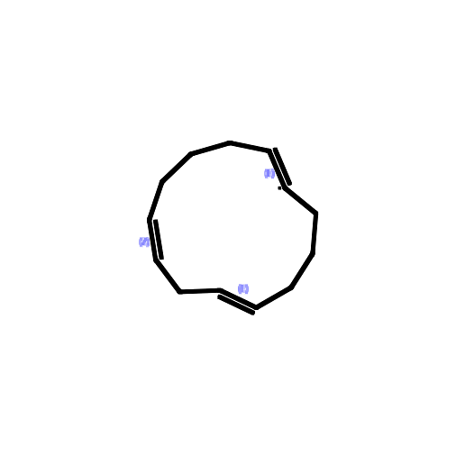 [C]1=C/CCC/C=C\C/C=C/CCC/1